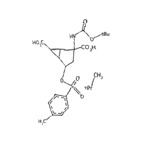 CCCC.Cc1ccc(S(=O)(=O)OC2CC(NC(=O)OC(C)(C)C)(C(=O)O)C3C(C(=O)O)C23)cc1